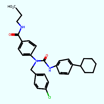 O=C(O)CCNC(=O)c1ccc(N(Cc2ccc(Cl)cc2)C(=O)Nc2ccc(C3CCCCC3)cc2)cc1